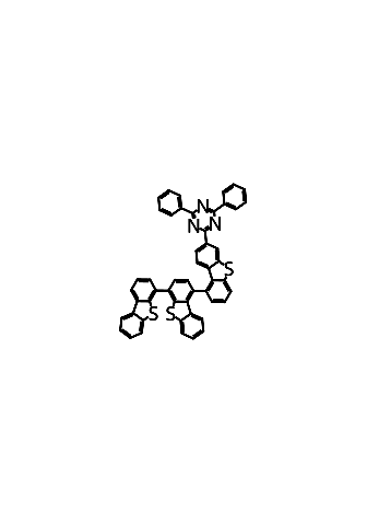 c1ccc(-c2nc(-c3ccccc3)nc(-c3ccc4c(c3)sc3cccc(-c5ccc(-c6cccc7c6sc6ccccc67)c6sc7ccccc7c56)c34)n2)cc1